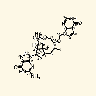 CC1CC2S[C@@H](n3nnc4c(=O)[nH]c(N)nc43)[C@H](OP(=O)(S)OC[C@H]1OCn1ccc3c(=O)[nH]cnc31)[C@@H]2F